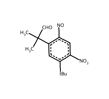 CC(C)(C)c1cc(C(C)(C)C=O)c(N=O)cc1[N+](=O)[O-]